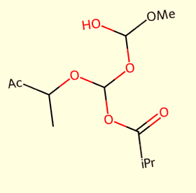 COC(O)OC(OC(=O)C(C)C)OC(C)C(C)=O